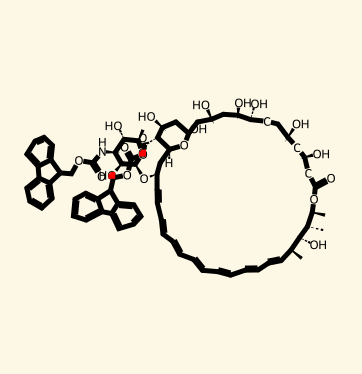 C[C@@H]1[C@H](O)[C@@H](C)/C=C/C=C/C=C/C=C/C=C/C=C/C=C/[C@H](O[C@@H]2O[C@H](C)[C@@H](O)[C@H](NC(=O)OCC3c4ccccc4-c4ccccc43)[C@@H]2O)C[C@@H]2O[C@](O)(C[C@@H](O)C[C@@H](O)[C@H](O)CC[C@@H](O)C[C@@H](O)CC(=O)O[C@H]1C)C[C@H](O)[C@H]2C(=O)OC(=O)OCC1c2ccccc2-c2ccccc21